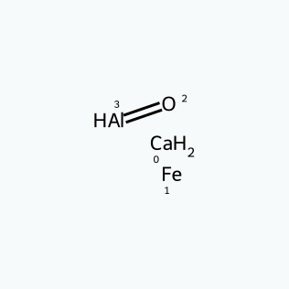 [CaH2].[Fe].[O]=[AlH]